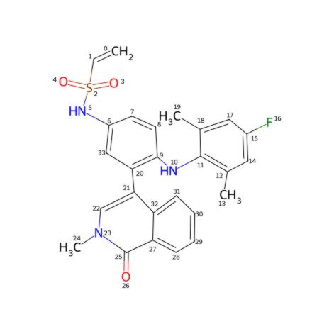 C=CS(=O)(=O)Nc1ccc(Nc2c(C)cc(F)cc2C)c(-c2cn(C)c(=O)c3ccccc23)c1